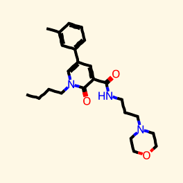 CCCCn1cc(-c2cccc(C)c2)cc(C(=O)NCCCN2CCOCC2)c1=O